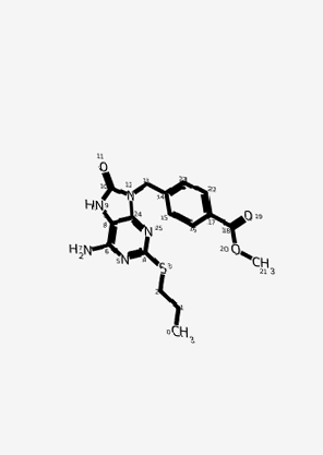 CCCSc1nc(N)c2[nH]c(=O)n(Cc3ccc(C(=O)OC)cc3)c2n1